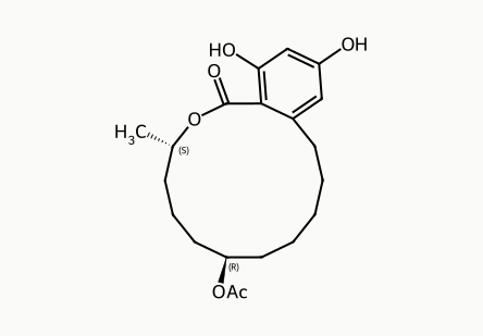 CC(=O)O[C@@H]1CCCCCc2cc(O)cc(O)c2C(=O)O[C@@H](C)CCC1